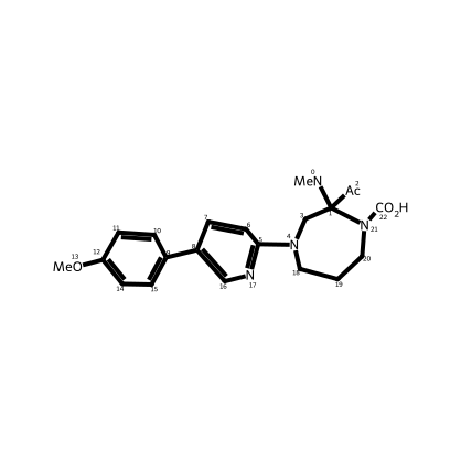 CNC1(C(C)=O)CN(c2ccc(-c3ccc(OC)cc3)cn2)CCCN1C(=O)O